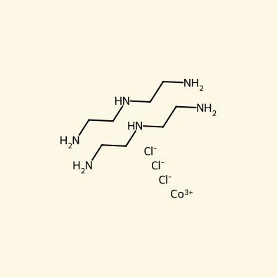 NCCNCCN.NCCNCCN.[Cl-].[Cl-].[Cl-].[Co+3]